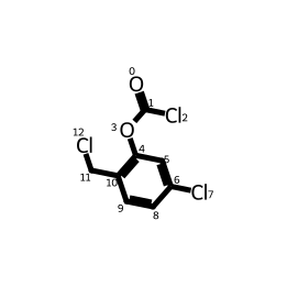 O=C(Cl)Oc1cc(Cl)ccc1CCl